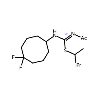 CC(=O)/N=C(/NC1CCCC(F)(F)CCC1)SC(C)C(C)C